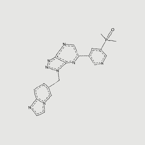 CP(C)(=O)c1cncc(-c2cnc3nnn(Cc4ccc5nccn5c4)c3n2)c1